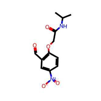 CC(C)NC(=O)COc1ccc([N+](=O)[O-])cc1C=O